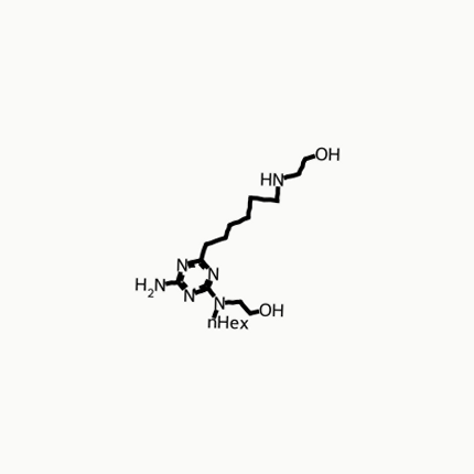 CCCCCCN(CCO)c1nc(N)nc(CCCCCCNCCO)n1